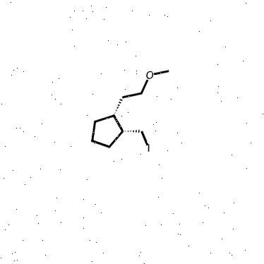 COCC[C@H]1CCC[C@H]1CI